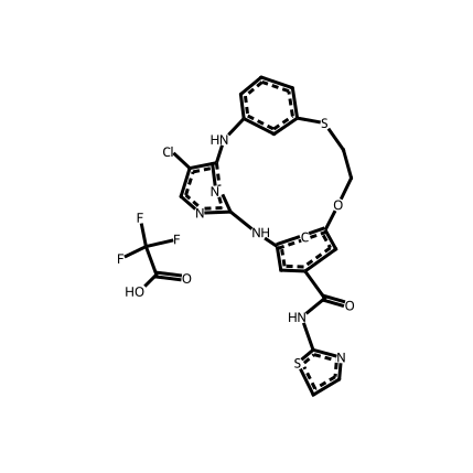 O=C(Nc1nccs1)c1cc2cc(c1)OCCSc1cccc(c1)Nc1nc(ncc1Cl)N2.O=C(O)C(F)(F)F